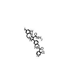 COc1cnccc1C(=O)NCc1ccc(-c2nn3c(c2C(N)=O)Nc2ccc(I)cc2CC3)cc1C